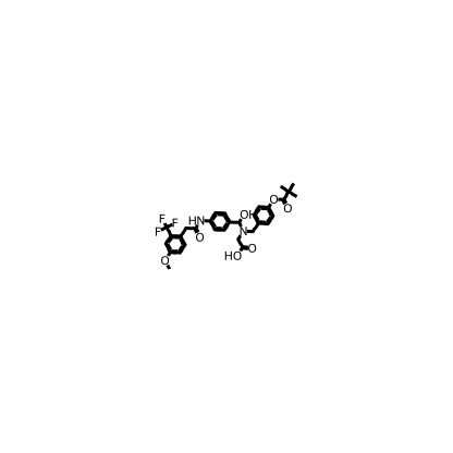 COc1ccc(CC(=O)Nc2ccc(C(O)N(CC(=O)O)Cc3ccc(OC(=O)C(C)(C)C)cc3)cc2)c(C(F)(F)F)c1